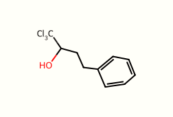 OC(CCc1ccccc1)C(Cl)(Cl)Cl